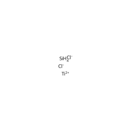 [Cl-].[Cl-].[SiH4].[Ti+2]